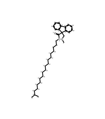 COCC1(C(=O)OCCCCCCCCCCCCCCCCCC(C)C)c2ccccc2-c2ccccc21